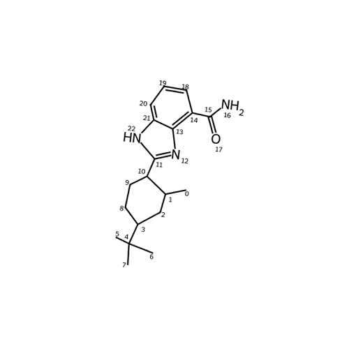 CC1CC(C(C)(C)C)CCC1c1nc2c(C(N)=O)cccc2[nH]1